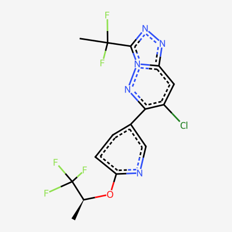 C[C@H](Oc1ccc(-c2nn3c(C(C)(F)F)nnc3cc2Cl)cn1)C(F)(F)F